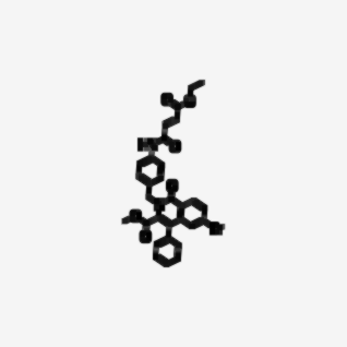 CCOC(=O)/C=C/C(=O)Nc1ccc(Cn2c(C(=O)OC)c(-c3ccccc3)c3cc(Br)ccc3c2=O)cc1